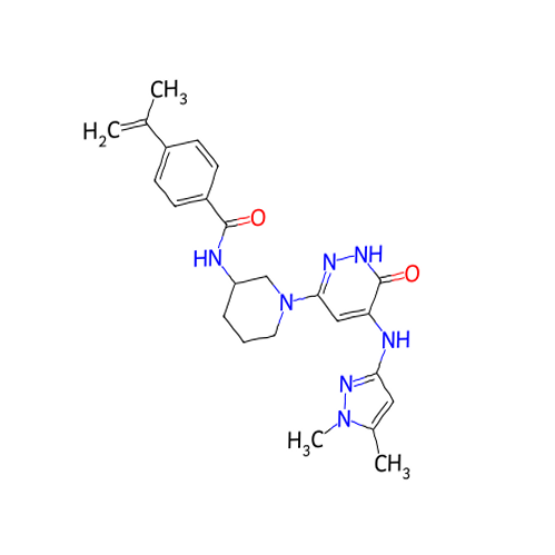 C=C(C)c1ccc(C(=O)NC2CCCN(c3cc(Nc4cc(C)n(C)n4)c(=O)[nH]n3)C2)cc1